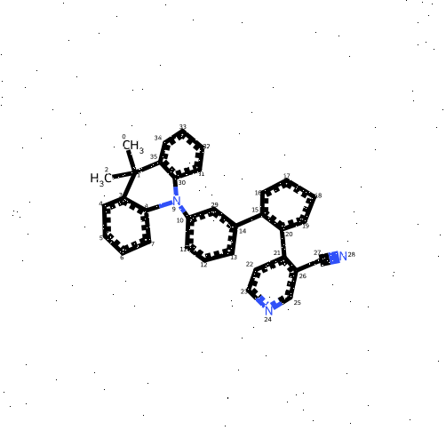 CC1(C)c2ccccc2N(c2cccc(-c3ccccc3-c3ccncc3C#N)c2)c2ccccc21